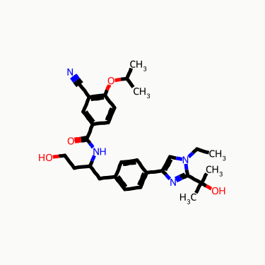 CCn1cc(-c2ccc(CC(CCO)NC(=O)c3ccc(OC(C)C)c(C#N)c3)cc2)nc1C(C)(C)O